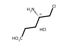 Cl.N[C@H](CCl)CCC(=O)O